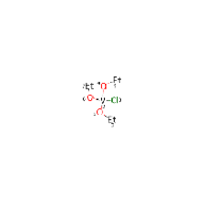 CC[O][V]([Cl])([O]CC)[O]CC